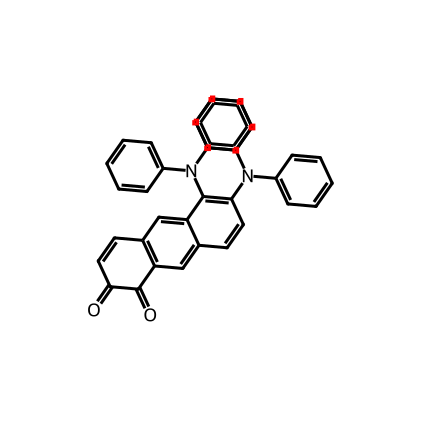 O=C1C=Cc2cc3c(N(c4ccccc4)c4ccccc4)c(N(c4ccccc4)c4ccccc4)ccc3cc2C1=O